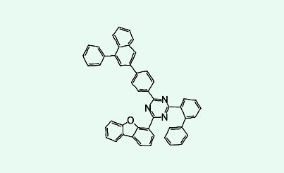 c1ccc(-c2ccccc2-c2nc(-c3ccc(-c4cc(-c5ccccc5)c5ccccc5c4)cc3)nc(-c3cccc4c3oc3ccccc34)n2)cc1